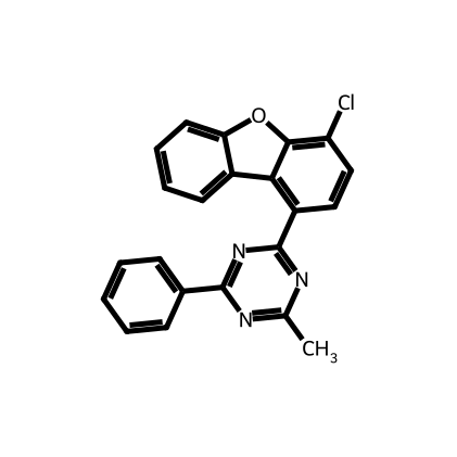 Cc1nc(-c2ccccc2)nc(-c2ccc(Cl)c3oc4ccccc4c23)n1